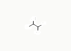 [O]C(F)C(Cl)Cl